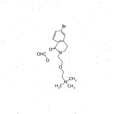 C[N+](C)(C)CCOCCN1CCc2cc(Br)ccc2C1=O.O=C[O-]